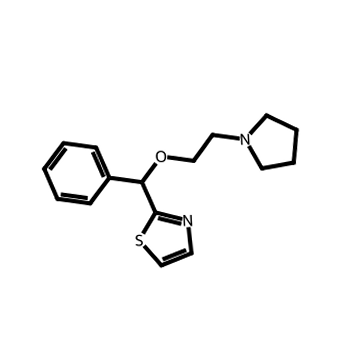 c1ccc(C(OCCN2CCCC2)c2nccs2)cc1